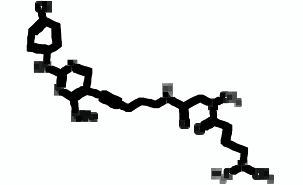 CNc1nc(Nc2ccc(C#N)cc2)ncc1C#CCCCNC(=O)CN(C)C(=O)C=CCN(C)C